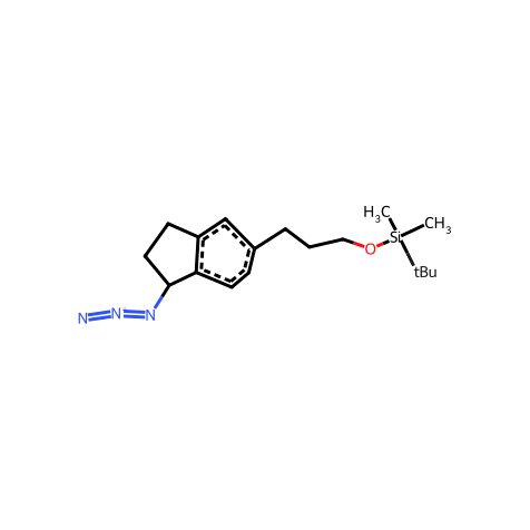 CC(C)(C)[Si](C)(C)OCCCc1ccc2c(c1)CCC2N=[N+]=[N-]